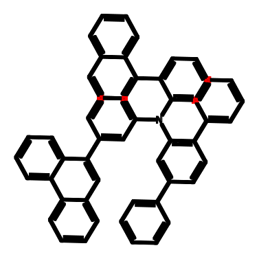 c1ccc(-c2ccc(-c3ccccc3)c(N(c3cccc(-c4cc5ccccc5c5ccccc45)c3)c3ccccc3-c3cccc4ccccc34)c2)cc1